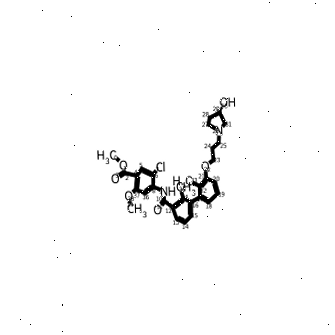 COC(=O)c1cc(Cl)c(NC(=O)c2cccc(-c3cccc(OCCCN4CC[C@@H](O)C4)c3C)c2C)cc1OC